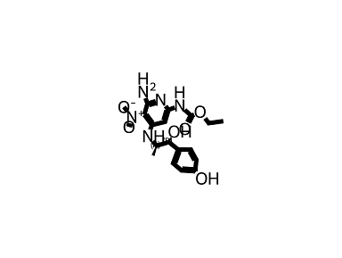 CCOC(=O)Nc1cc(N[C@H](C)[C@H](O)c2ccc(O)cc2)c([N+](=O)[O-])c(N)n1